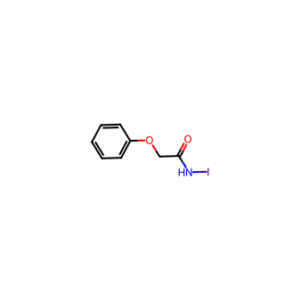 O=C(COc1ccccc1)NI